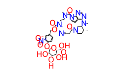 C[C@@H]1CCN(C(=O)CC#N)C[C@@H]1N(C)c1ncnc2c1ccn2C(=O)N(C)CCN(C)C(=O)OCc1ccc(O[C@@H]2O[C@H](C(=O)O)[C@@H](O)[C@H](O)C2O)c([N+](=O)[O-])c1